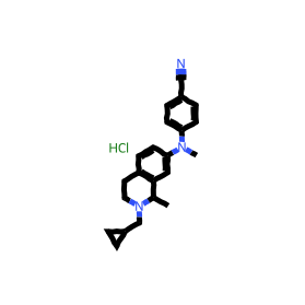 CC1c2cc(N(C)c3ccc(C#N)cc3)ccc2CCN1CC1CC1.Cl